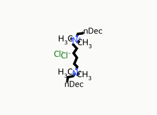 CCCCCCCCCCCC[N+](C)(C)CCCCCC[N+](C)(C)CCCCCCCCCCCC.[Cl-].[Cl-]